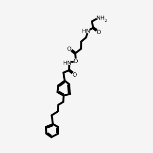 NCC(=O)NCCCC(=O)ONC(=O)Cc1ccc(CCCCc2ccccc2)cc1